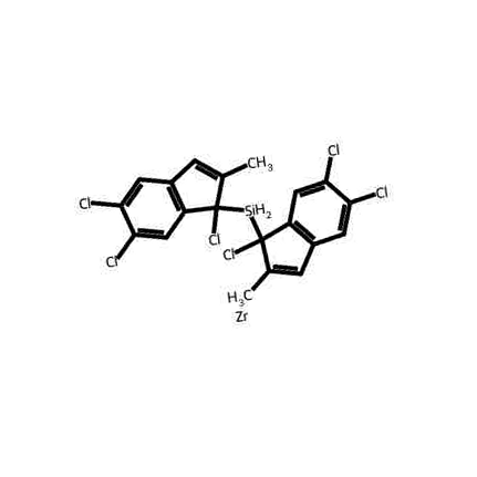 CC1=Cc2cc(Cl)c(Cl)cc2C1(Cl)[SiH2]C1(Cl)C(C)=Cc2cc(Cl)c(Cl)cc21.[Zr]